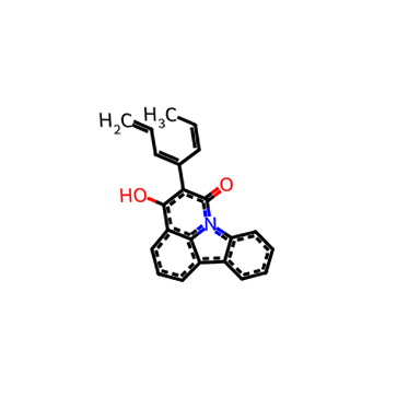 C=C/C=C(\C=C/C)c1c(O)c2cccc3c4ccccc4n(c1=O)c23